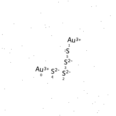 [Au+3].[Au+3].[S-2].[S-2].[S-2].[S]